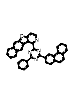 c1ccc(-c2nc(-c3ccc4ccc5ccccc5c4c3)nc(-c3nccc4oc5cc6ccccc6cc5c34)n2)cc1